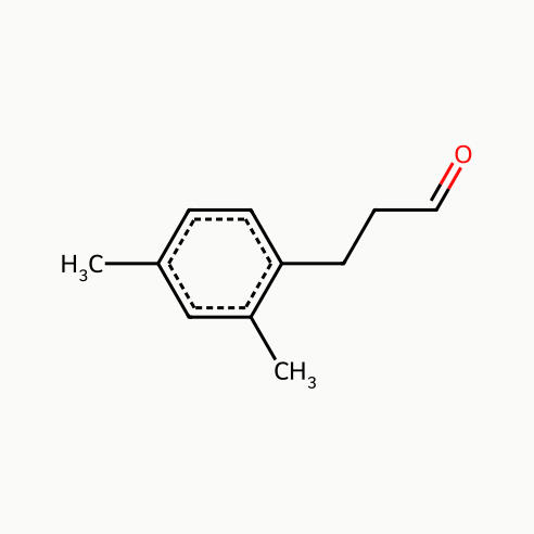 Cc1ccc(CCC=O)c(C)c1